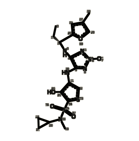 CC[C@@H](Nc1n[s+]([O-])nc1Nc1csc(S(=O)(=O)N(C)C2CC2)c1O)c1cc(C)co1